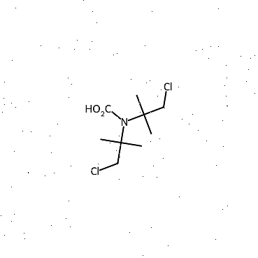 CC(C)(CCl)N(C(=O)O)C(C)(C)CCl